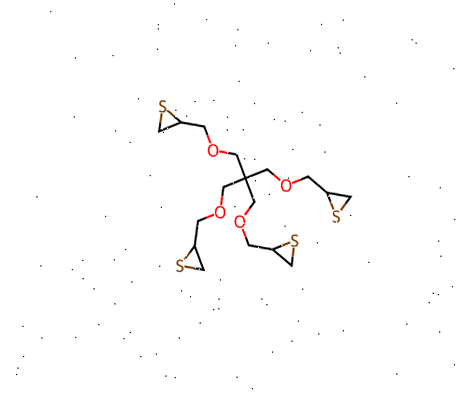 C(OCC(COCC1CS1)(COCC1CS1)COCC1CS1)C1CS1